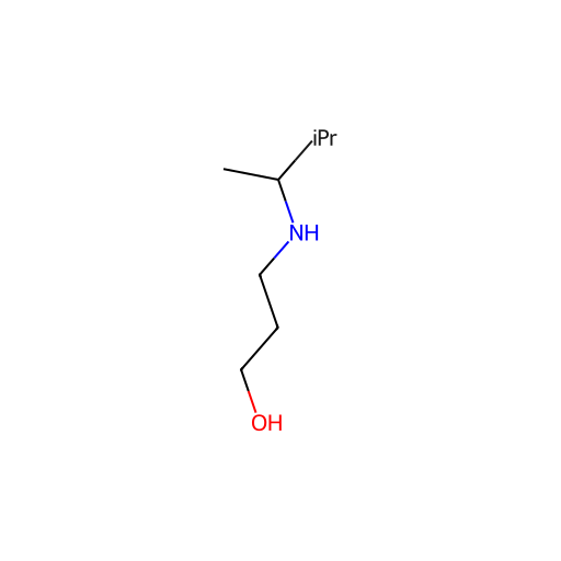 CC(C)C(C)NCCCO